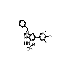 Cc1cc(-c2cc(NS(C)(=O)=O)c3ncn(Cc4ccccc4)c3c2)cn(C)c1=O